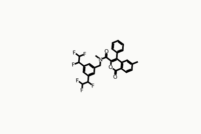 Cc1ccc2c(=O)oc(C(=O)N(C)Cc3cc(C(F)C(F)F)cc(C(F)C(F)F)c3)c(-c3ccccc3)c2c1